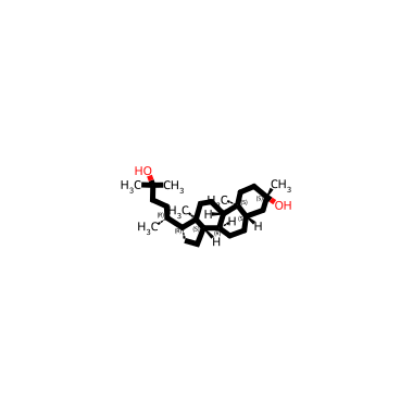 C[C@H](CCC(C)(C)O)[C@H]1CC[C@H]2[C@@H]3CC[C@H]4C[C@@](C)(O)CC[C@]4(C)[C@H]3CC[C@]12C